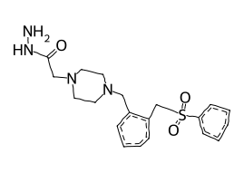 NNC(=O)CN1CCN(Cc2ccccc2CS(=O)(=O)c2ccccc2)CC1